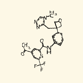 CC(=O)c1cc(C(=O)Nc2cccc(C3(Cc4nncn4C)COC3)c2)nc(C(F)(F)F)c1